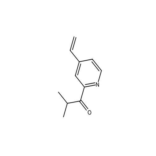 C=Cc1ccnc(C(=O)C(C)C)c1